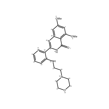 COc1cc(OC)c2c(=O)[nH]c(-c3ncccc3NCCN3CCOCC3)nc2c1